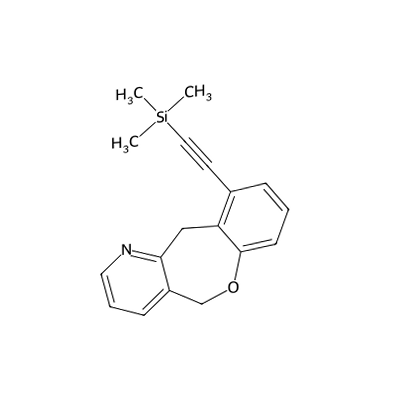 C[Si](C)(C)C#Cc1cccc2c1Cc1ncccc1CO2